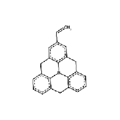 C=Cc1cc2c3c(c1)Cc1cccc4c1B3c1c(cccc1C2)C4